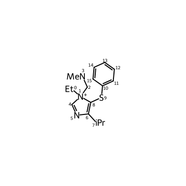 CC[N+]1(CNC)C=NC(C(C)C)=C1Sc1ccccc1